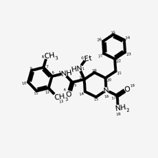 CCNC1(C(=O)Nc2c(C)cccc2C)CCN(C(N)=O)C(Cc2ccccc2)C1